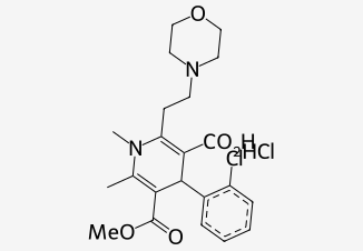 COC(=O)C1=C(C)N(C)C(CCN2CCOCC2)=C(C(=O)O)C1c1ccccc1Cl.Cl